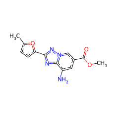 COC(=O)c1cc(N)c2nc(-c3ccc(C)o3)nn2c1